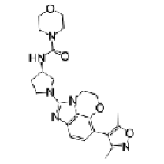 Cc1noc(C)c1-c1ccc2nc(N3CC[C@@H](NC(=O)N4CCOCC4)C3)n3c2c1OCC3